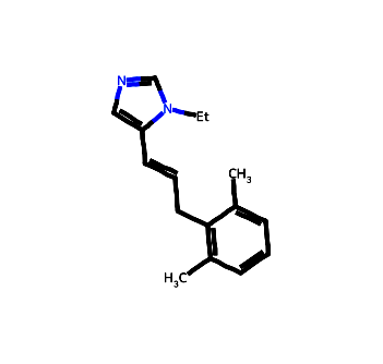 CCn1cncc1C=CCc1c(C)cccc1C